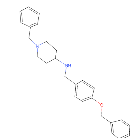 c1ccc(COc2ccc(CNC3CCN(Cc4ccccc4)CC3)cc2)cc1